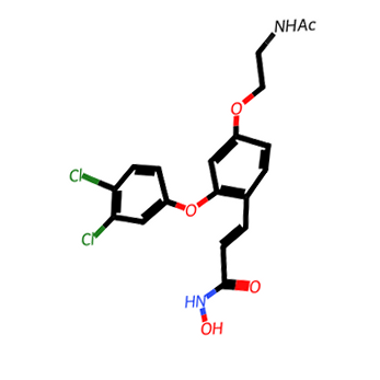 CC(=O)NCCOc1ccc(C=CC(=O)NO)c(Oc2ccc(Cl)c(Cl)c2)c1